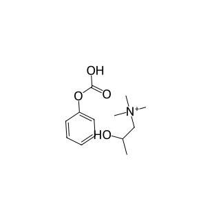 CC(O)C[N+](C)(C)C.O=C(O)Oc1ccccc1